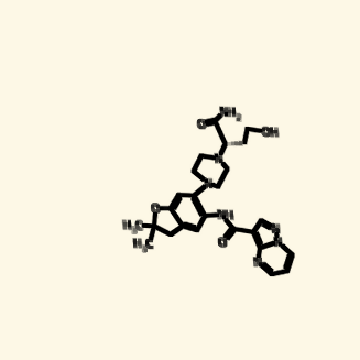 CC1(C)Cc2cc(NC(=O)c3cnn4cccnc34)c(N3CCN([C@@H](CCO)C(N)=O)CC3)cc2O1